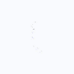 C/C=C/C=C/C=C\CC/C=C/C=C/C(=O)NC(C)(C)O